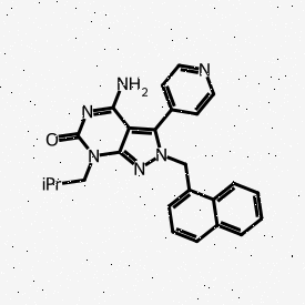 CC(C)Cn1c(=O)nc(N)c2c(-c3ccncc3)n(Cc3cccc4ccccc34)nc21